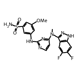 COc1cc(Nc2nccc(N(C)c3n[nH]c4cc(F)c(F)cc34)n2)cc(S(N)(=O)=O)c1